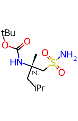 CC(C)C[C@@](C)(CS(N)(=O)=O)NC(=O)OC(C)(C)C